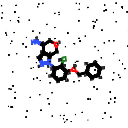 N=C1COCc2c1cnn2-c1cccc(OCc2ccccc2)c1Cl